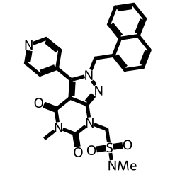 CNS(=O)(=O)Cn1c(=O)n(C)c(=O)c2c(-c3ccncc3)n(Cc3cccc4ccccc34)nc21